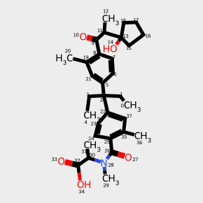 CCC(CC)(c1ccc(C(=O)C(C)C2(O)CCCC2)c(C)c1)c1ccc(C(=O)N(C)C(C)C(=O)O)c(C)c1